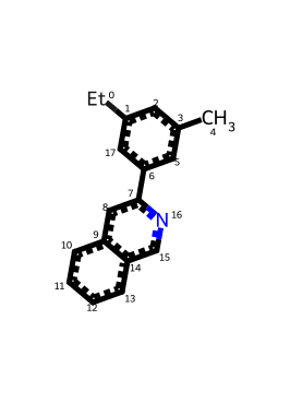 CCc1cc(C)cc(-c2cc3ccccc3cn2)c1